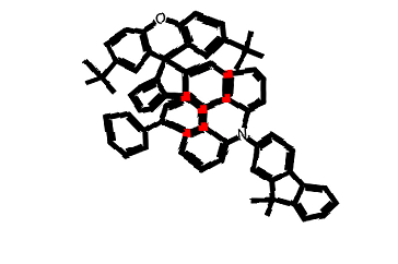 CC(C)(C)c1ccc2c(c1)C1(c3cc(C(C)(C)C)ccc3O2)c2ccccc2-c2c(-c3ccccc3N(c3ccc4c(c3)C(C)(C)c3ccccc3-4)c3ccccc3-c3ccc(-c4ccccc4)cc3)cccc21